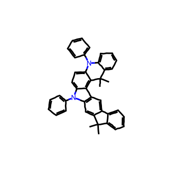 CC1(C)c2ccccc2-c2cc3c4c5c(ccc4n(-c4ccccc4)c3cc21)N(c1ccccc1)c1ccccc1C5(C)C